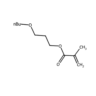 C=C(C)C(=O)OCCCOCCCC